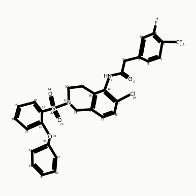 O=C(Cc1ccc(C(F)(F)F)c(F)c1)Nc1c(Cl)ccc2c1CCN(S(=O)(=O)c1ccccc1Oc1ccccc1)C2